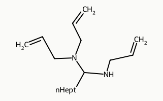 C=CCNC(CCCCCCC)N(CC=C)CC=C